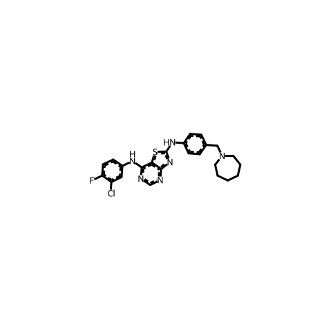 Fc1ccc(Nc2ncnc3nc(Nc4ccc(CN5CCCCCC5)cc4)sc23)cc1Cl